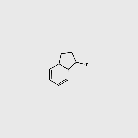 [Ti][CH]1CCC2C=CC=CC12